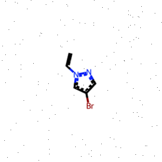 C=Cn1cc(Br)cn1